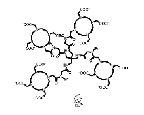 CC(C)N(CC(=O)NCC(CNC(=O)CN(C(=O)CN1CCN(CC(=O)[O-])CCN(CC(=O)[O-])CCN(CC(=O)[O-])CC1)C(C)C)(CNC(=O)CN(C(=O)CN1CCN(CC(=O)[O-])CCN(CC(=O)[O-])CCN(CC(=O)[O-])CC1)C(C)C)CNC(=O)CN(C(=O)CN1CCN(CC(=O)[O-])CCN(CC(=O)[O-])CCN(CC(=O)[O-])CC1)C(C)C)C(=O)CN1CCN(CC(=O)[O-])CCN(CC(=O)[O-])CCN(CC(=O)[O-])CC1.[Gd+3].[Gd+3].[Gd+3].[Gd+3]